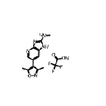 CNc1nc2ncc(-c3c(C)noc3C)cc2[nH]1.O=C(O)C(F)(F)F